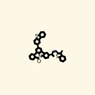 C=C(/C=C\c1sc2ccccc2c1C)c1ccc2c(c1)c1cc(-c3ccc4sc5ccccc5c4c3)cc3c4ccccc4c(=O)n2c31